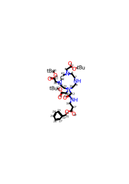 CC(C)(C)OC(=O)CN1CCNCC[N+](CC(=O)NCCC(=O)OCc2ccccc2)(CC(=O)OC(C)(C)C)CCN(CC(=O)OC(C)(C)C)CC1